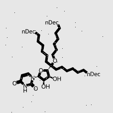 CCCCCCCCCCCCCCCCOC(CCCCCCCCCCCCCCCC)(CCCCCCCCCCCCCCCC)[C@H]1O[C@@H](n2ccc(=O)[nH]c2=O)[C@H](O)[C@@H]1O